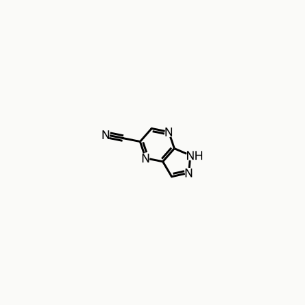 N#Cc1cnc2[nH]ncc2n1